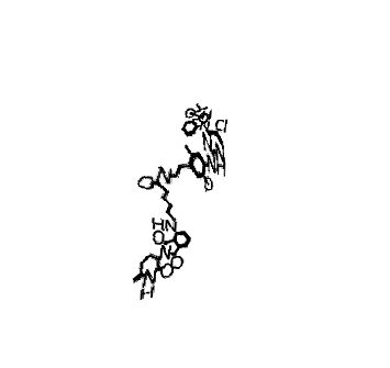 C=C1CCC(N2C(=O)c3cccc(NCCCCCC(=O)N(C)CCc4cc(OC)c(Nc5ncc(Cl)c(Nc6ccccc6S(=O)(=O)C(C)C)n5)cc4C)c3C2=O)C(=O)N1